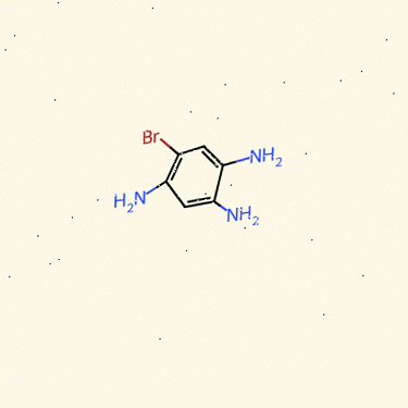 Nc1cc(N)c(Br)cc1N